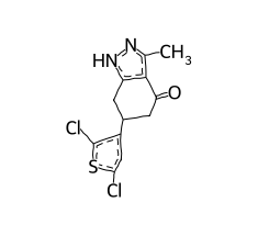 Cc1n[nH]c2c1C(=O)CC(c1cc(Cl)sc1Cl)C2